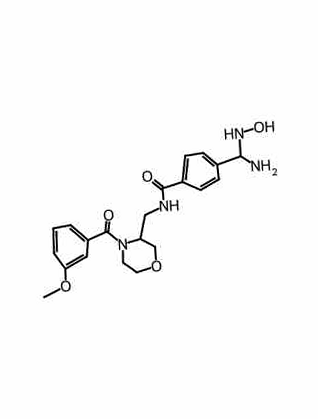 COc1cccc(C(=O)N2CCOCC2CNC(=O)c2ccc(C(N)NO)cc2)c1